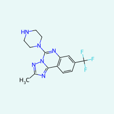 Cc1nc2c3ccc(C(F)(F)F)cc3nc(N3CCNCC3)n2n1